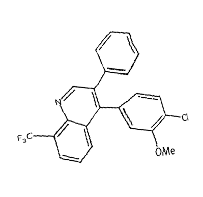 COc1cc(-c2c(-c3ccccc3)cnc3c(C(F)(F)F)cccc23)ccc1Cl